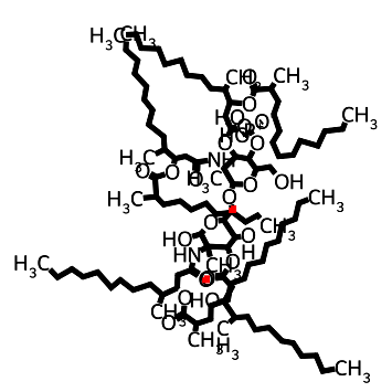 CCCCCCCCCCCCCC(C)C(=O)OC(CC(=O)NC1(C)C(O)OC(COC2OC(CO)C(O[P+]([O-])(O)O)C(OC(=O)CC(OC(=O)C(C)CCCCCCCCCCC)C(C)CCCCCCCCC)C2(C)NC(=O)CC(OC(=O)C(C)CCCCCCCCC)C(C)CCCCCCCCC)C(O)C1OC(=O)CC(O)C(C)CCCCCCCCC)C(C)CCCCCCCCC